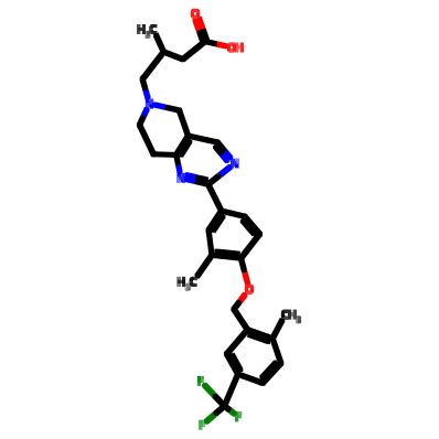 Cc1ccc(C(F)(F)F)cc1COc1ccc(-c2ncc3c(n2)CCN(CC(C)CC(=O)O)C3)cc1C